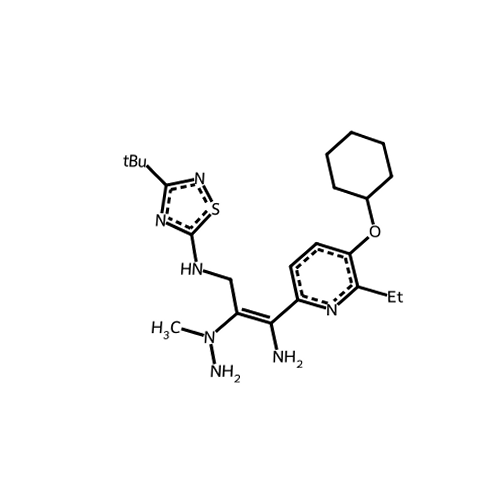 CCc1nc(/C(N)=C(\CNc2nc(C(C)(C)C)ns2)N(C)N)ccc1OC1CCCCC1